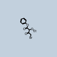 CCOC(C(=O)CBr)C(=O)Oc1ccccc1